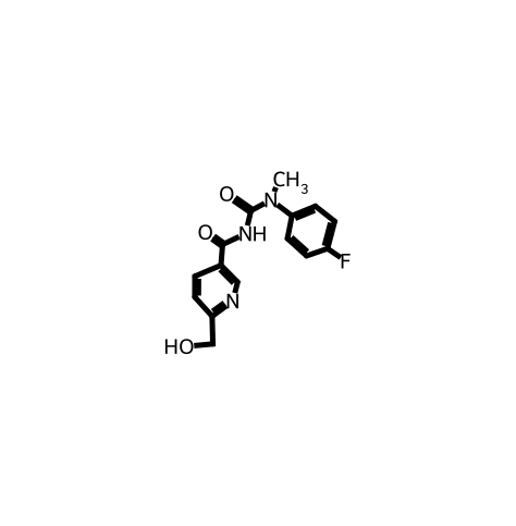 CN(C(=O)NC(=O)c1ccc(CO)nc1)c1ccc(F)cc1